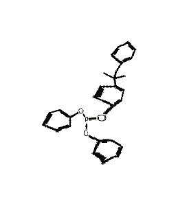 CC(C)(c1ccccc1)c1ccc(OP(Oc2ccccc2)Oc2ccccc2)cc1